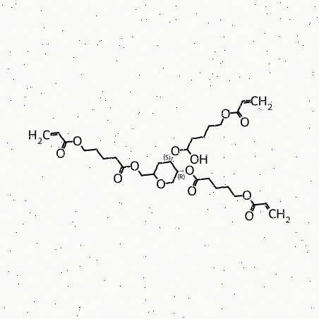 C=CC(=O)OCCCCC(=O)OCC1C[C@H](OC(O)CCCCOC(=O)C=C)[C@H](OC(=O)CCCCOC(=O)C=C)CO1